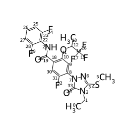 CCn1c(SC)nn(-c2cc(OC(C)C(F)(F)F)c(C(=O)Nc3c(F)cccc3F)cc2F)c1=O